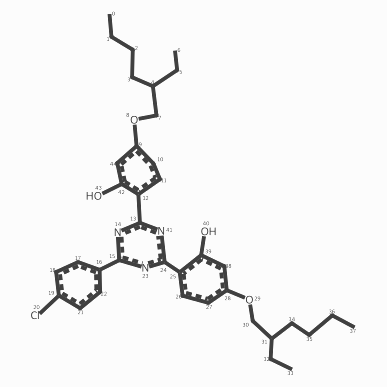 CCCCC(CC)COc1ccc(-c2nc(-c3ccc(Cl)cc3)nc(-c3ccc(OCC(CC)CCCC)cc3O)n2)c(O)c1